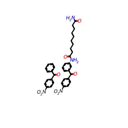 NC(=O)CCCCCCCCC(N)=O.O=C(c1ccccc1)c1ccc([N+](=O)[O-])cc1.O=C(c1ccccc1)c1ccc([N+](=O)[O-])cc1